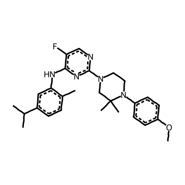 COc1ccc(N2CCN(c3ncc(F)c(Nc4cc(C(C)C)ccc4C)n3)CC2(C)C)cc1